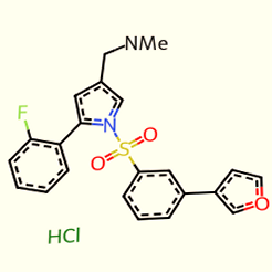 CNCc1cc(-c2ccccc2F)n(S(=O)(=O)c2cccc(-c3ccoc3)c2)c1.Cl